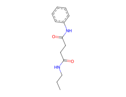 CCCNC(=O)CCC(=O)Nc1ccccc1